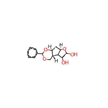 OC1O[C@@H]2C[C@@H]3OC(c4ccccc4)OC[C@H]3C2[C@@H]1O